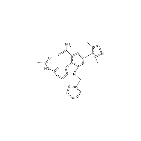 Cc1noc(C)c1-c1cc(C(N)=O)c2c3cc(N[S+](C)[O-])ccc3n(Cc3ccccc3)c2c1